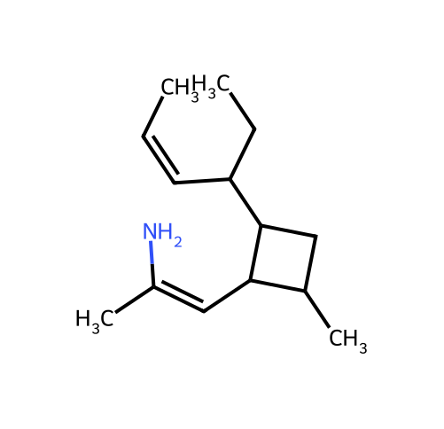 C/C=C\C(CC)C1CC(C)C1/C=C(/C)N